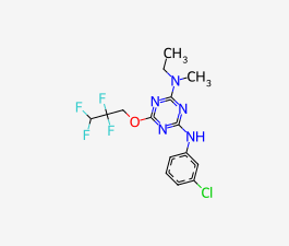 CCN(C)c1nc(Nc2cccc(Cl)c2)nc(OCC(F)(F)C(F)F)n1